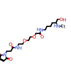 CCNC(CO)CCCCNC(=O)COCCOCCNC(=O)CCN1C(=O)C=CC1=O